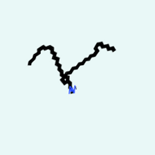 CCCCC/C=C\C/C=C\CCCCCCCCCC1(CCCCCCCCC/C=C\C/C=C\CCCCC)CCC(CCN(C)C)C1